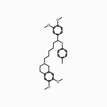 COc1ccc(C(CCCCCN2CCc3cc(OC)c(OC)cc3C2)Sc2ccc(C)cc2)cc1OC